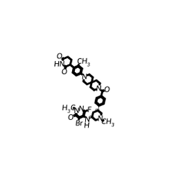 Cc1cc(N2CCC3(CCN(C(=O)c4ccc([C@H]5C[C@@H](Nc6c(F)nn(C)c(=O)c6Br)CN(C)C5)cc4)CC3)CC2)ccc1C1CCC(=O)NC1=O